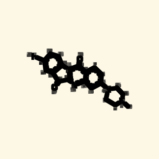 CN1CCN(c2ccc3c(=O)n4c(nc3c2)C(=O)c2cc(F)ccc2-4)CC1